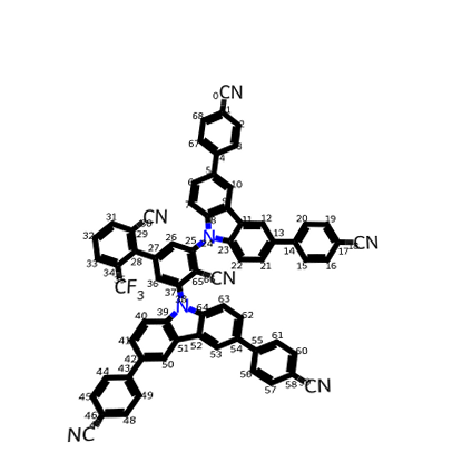 N#Cc1ccc(-c2ccc3c(c2)c2cc(-c4ccc(C#N)cc4)ccc2n3-c2cc(-c3c(C#N)cccc3C(F)(F)F)cc(-n3c4ccc(-c5ccc(C#N)cc5)cc4c4cc(-c5ccc(C#N)cc5)ccc43)c2C#N)cc1